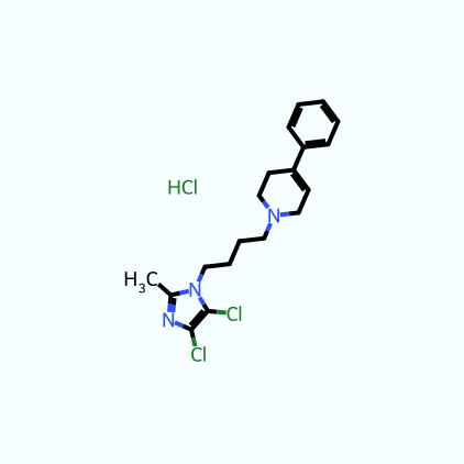 Cc1nc(Cl)c(Cl)n1CCCCN1CC=C(c2ccccc2)CC1.Cl